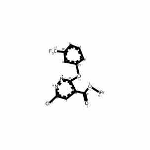 CC(C)OC(=O)c1cc(Cl)nnc1Oc1cccc(C(F)(F)F)c1